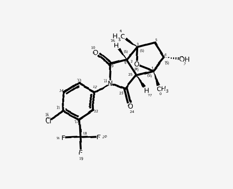 C[C@@]12O[C@@](C)(C[C@@H]1O)[C@H]1C(=O)N(c3ccc(Cl)c(C(F)(F)F)c3)C(=O)[C@H]12